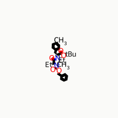 CC[C@@H](C(=O)N(CC)[C@@H](Cc1ccc(C)cc1)C(=O)OC(C)(C)C)N(C)C(=O)OCc1ccccc1